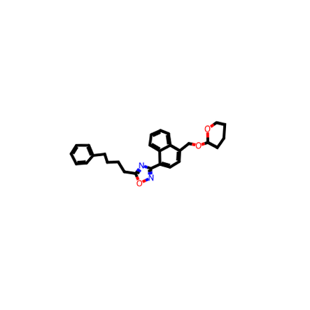 c1ccc(CCCCc2nc(-c3ccc(COC4CCCCO4)c4ccccc34)no2)cc1